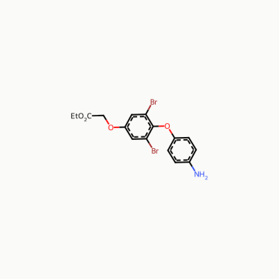 CCOC(=O)COc1cc(Br)c(Oc2ccc(N)cc2)c(Br)c1